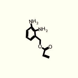 C=CC(=O)OCc1cccc(N)c1N